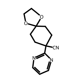 N#CC1(c2ncccn2)CCC2(CC1)OCCO2